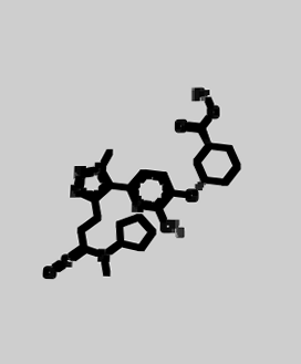 CC(C)OC(=O)[C@H]1CCC[C@H](Oc2ccc(-c3c(CCC(=C=O)N(C)C4CCCC4)nnn3C)nc2C(F)(F)F)C1